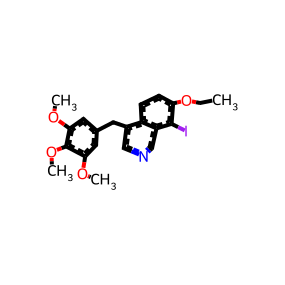 CCOc1ccc2c(Cc3cc(OC)c(OC)c(OC)c3)cncc2c1I